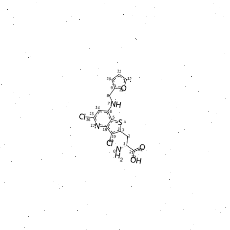 N[C@H](Cc1sc2c(NCc3ccco3)cc(Cl)nc2c1Cl)C(=O)O